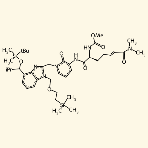 COC(=O)N[C@@H](CC/C=C/C(=O)N(C)C)C(=O)Nc1cccn(Cc2nc3c(C(O[Si](C)(C)C(C)(C)C)C(C)C)cccc3n2COCC[Si](C)(C)C)c1=O